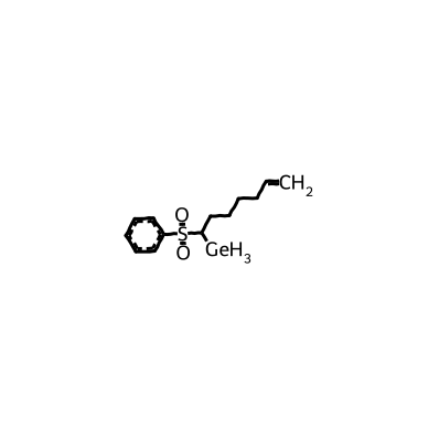 C=CCCCC[CH]([GeH3])S(=O)(=O)c1ccccc1